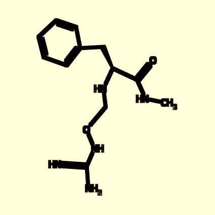 CNC(=O)[C@H](Cc1ccccc1)NCONC(=N)N